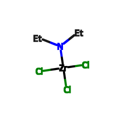 CC[N](CC)[Zr]([Cl])([Cl])[Cl]